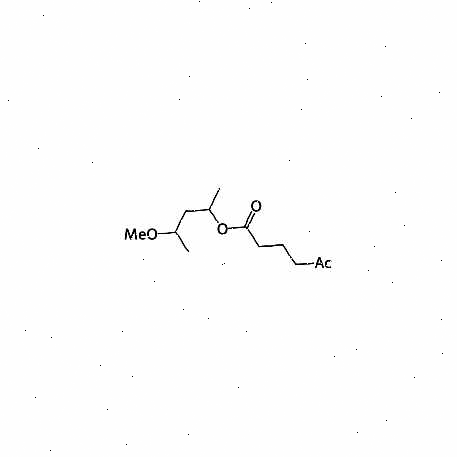 COC(C)CC(C)OC(=O)CCCC(C)=O